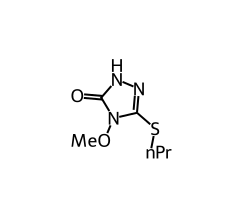 CCCSc1n[nH]c(=O)n1OC